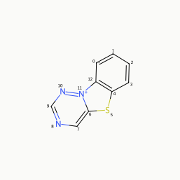 [c]1cccc2sc3cncn[n+]3c12